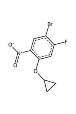 O=[N+]([O-])c1cc(Br)c(F)cc1OC1CC1